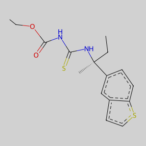 CCOC(=O)NC(=S)N[C@@](C)(CC)c1ccc2sccc2c1